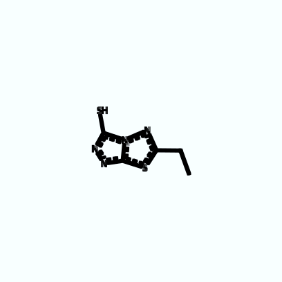 CCc1nn2c(S)nnc2s1